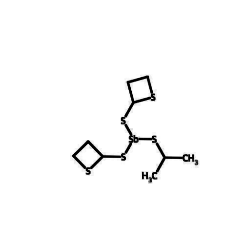 CC(C)[S][Sb]([S]C1CCS1)[S]C1CCS1